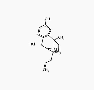 C=CCN1CCC2(C)c3cc(O)ccc3CC1[C@@H]2C.Cl